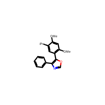 COc1cc(OC)c(C(C)C)cc1-c1ocnc1-c1ccccc1